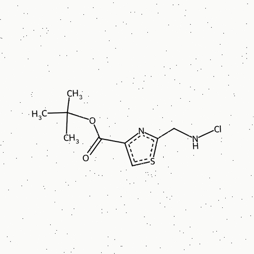 CC(C)(C)OC(=O)c1csc(CNCl)n1